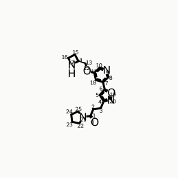 O=C(CCc1cc(-c2cncc(OC[C@@H]3CCN3)c2)on1)N1CCCC1